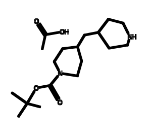 CC(=O)O.CC(C)(C)OC(=O)N1CCC(CC2CCNCC2)CC1